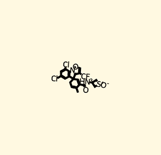 CC1=CCC(c2cc(Cl)cc(Cl)c2)(c2nocc2C(F)(F)F)C=C1C(=O)NC1C[S+]([O-])C1